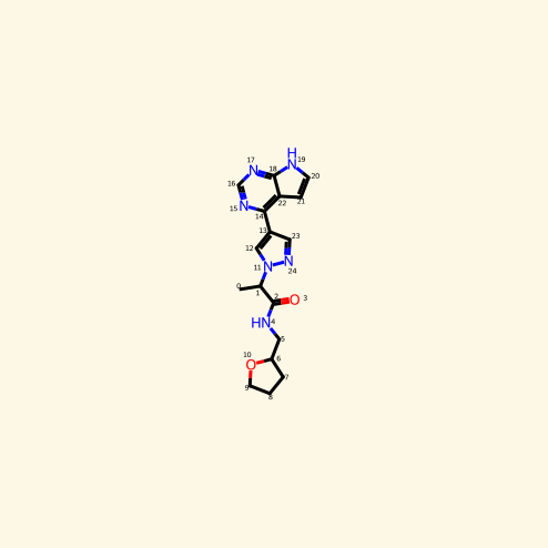 CC(C(=O)NCC1CCCO1)n1cc(-c2ncnc3[nH]ccc23)cn1